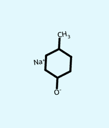 CC1CCC([O-])CC1.[Na+]